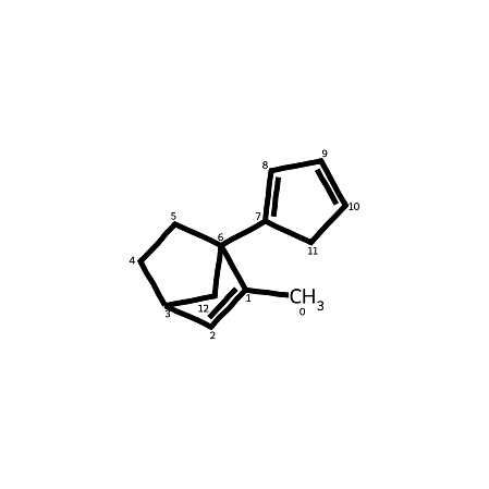 CC1=CC2CCC1(C1=CC=CC1)C2